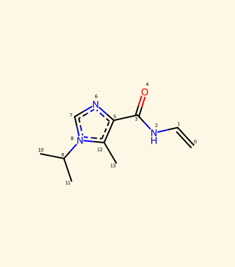 C=CNC(=O)c1ncn(C(C)C)c1C